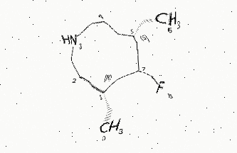 C[C@@H]1CNC[C@H](C)C1F